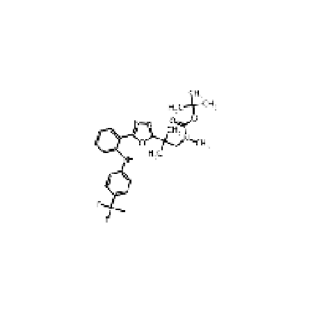 CN(CC(C)(C)c1nnc(-c2ccccc2Nc2ccc(C(F)(F)F)cc2)o1)C(=O)OC(C)(C)C